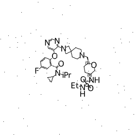 CCNS(=O)(=O)N[C@@H]1CC[C@@H](CN2CCC3(CC2)CN(c2ncncc2Oc2ccc(F)cc2C(=O)N(C(C)C)C2CC2)C3)OC1